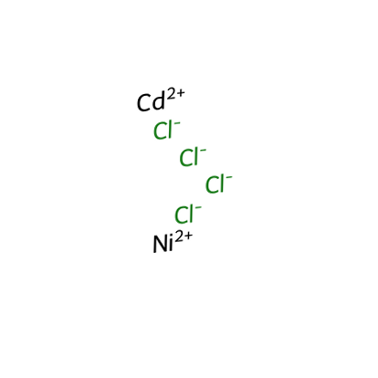 [Cd+2].[Cl-].[Cl-].[Cl-].[Cl-].[Ni+2]